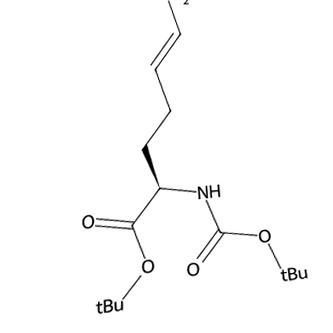 CCOC(=O)/C=C/CC[C@@H](NC(=O)OC(C)(C)C)C(=O)OC(C)(C)C